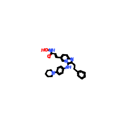 O=C(/C=C/c1ccc2nc(CCc3ccccc3)c(Nc3ccc(N4CCCCC4)cc3)n2c1)NO